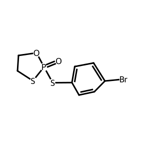 O=P1(Sc2ccc(Br)cc2)OCCS1